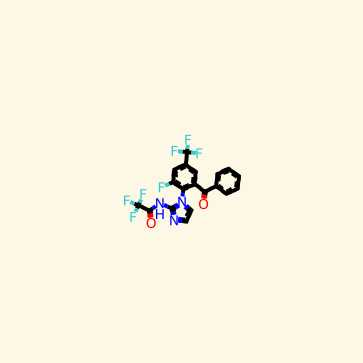 O=C(c1ccccc1)c1cc(C(F)(F)F)cc(F)c1-n1ccnc1NC(=O)C(F)(F)F